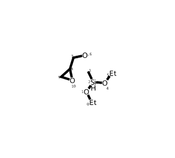 CCO[SiH](C)OCC.[O]CC1CO1